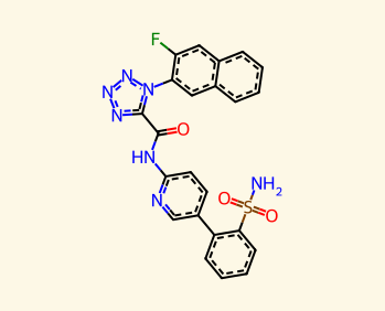 NS(=O)(=O)c1ccccc1-c1ccc(NC(=O)c2nnnn2-c2cc3ccccc3cc2F)nc1